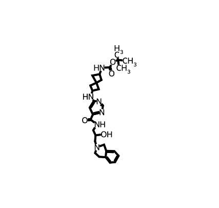 CC(C)(C)OC(=O)NC1CC2(C1)CC(Nc1cc(C(=O)NCC(O)CN3CCc4ccccc4C3)ncn1)C2